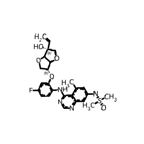 C=C[C@@]1(O)COC2C1OC[C@H]2Oc1cc(F)ccc1Nc1ncnc2cc(N=S(C)(C)=O)cc(C)c12